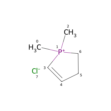 C[P+]1(C)C=CCC1.[Cl-]